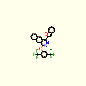 FC(F)(F)c1ccc(C(F)(F)F)c(Oc2nnc(-c3cc4ccccc4o3)c3cc4ccccc4cc23)c1